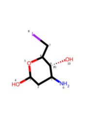 NC1CC(O)OC(CI)[C@@H]1O